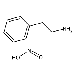 NCCc1ccccc1.O=NO